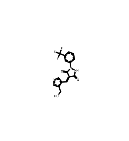 O=C1NN(c2cccc(C(F)(F)F)c2)C(=O)C1=Cc1cocc1CO